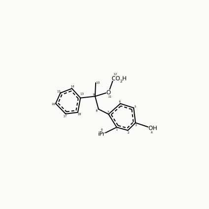 CC(C)c1cc(O)ccc1CC(C)(OC(=O)O)c1ccccc1